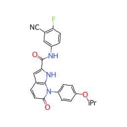 CC(C)Oc1ccc(-n2c(=O)ccc3cc(C(=O)Nc4ccc(F)c(C#N)c4)[nH]c32)cc1